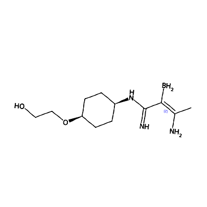 B/C(C(=N)N[C@H]1CC[C@@H](OCCO)CC1)=C(\C)N